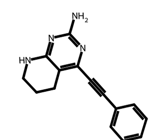 Nc1nc(C#Cc2ccccc2)c2c(n1)NCCC2